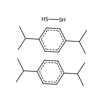 CC(C)c1ccc(C(C)C)cc1.CC(C)c1ccc(C(C)C)cc1.SS